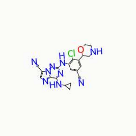 N#Cc1cc(Nc2nc(NC3CC3)c3ncc(C#N)n3n2)c(Cl)c(C2CNCCO2)c1